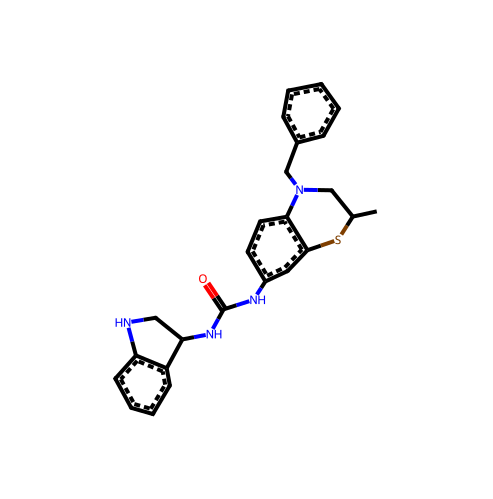 CC1CN(Cc2ccccc2)c2ccc(NC(=O)NC3CNc4ccccc43)cc2S1